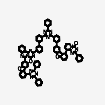 O=c1nc(-c2ccccc2)nc2c(-c3cccc4oc5ccc(-c6cccc(-c7nc(-c8ccccc8)nc(-c8cccc(-c9cccc(-c%10nc(=O)n%11c(-c%12ccc%13c(c%12)oc%12cccc(-c%14nc(-c%15ccccc%15)nc(-c%15ccccc%15)n%14)c%12%13)nc%12ccccc%12c%11n%10)c9)c8)n7)c6)cc5c34)cccn12